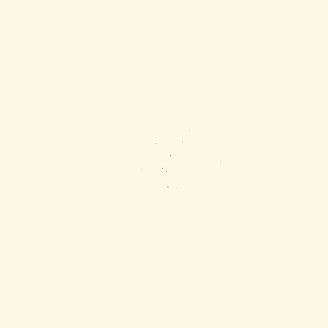 CON(C)C(C)(NC(=O)O)C(=O)C(C)(C)C